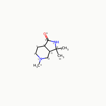 CN1CCC2C(=O)NC(C)(C)C2C1